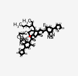 CCCCC(CC)CC1(CC(CC)CCCC)c2cc(-c3c(F)cc(-c4cccs4)c4nsnc34)sc2-c2sc(-c3c(F)cc(-c4cccs4)c4nsnc34)cc21